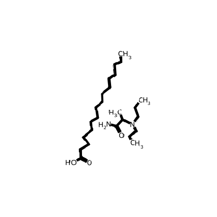 CCCCCCCCCCCCCCCC(=O)O.CCCN(CCC)C(C)C(N)=O